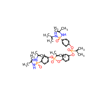 C=C(C)NP(=O)(NC(=C)C)c1ccc(OP(=O)(Oc2ccc(OP(=O)(Oc3ccc(P(=O)(NC(=C)C)NC(=C)C)cc3)C(=C)C)cc2)C(=C)C)cc1